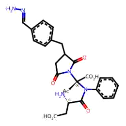 CC(=O)[C@](C(=O)O)(N1C(=O)CC(Cc2ccc(C=NN)cc2)C1=O)N(C(=O)[C@@H](N)CC(=O)O)c1ccccc1